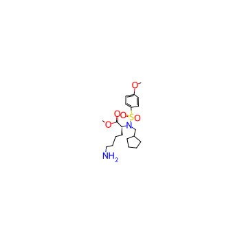 COC(=O)[C@H](CCCCN)N(CC1CCCC1)S(=O)(=O)c1ccc(OC)cc1